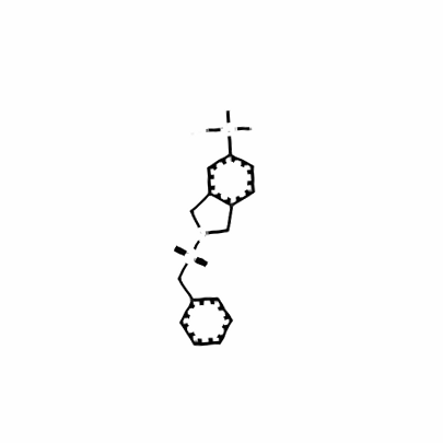 CCC[CH2][Sn]([CH2]CCC)([CH2]CCC)[c]1ccc2c(c1)CN(S(=O)(=O)Cc1ccccc1)C2